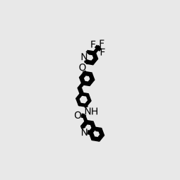 O=C(NC1CCC(=Cc2cccc(Oc3ccc(C(F)(F)F)cn3)c2)CC1)c1cnc2ccccc2c1